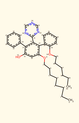 CCCCCCCCOc1cc(O)c(-c2ccccc2)c(-c2ncncn2)c1-c1ccccc1OCCCCCC